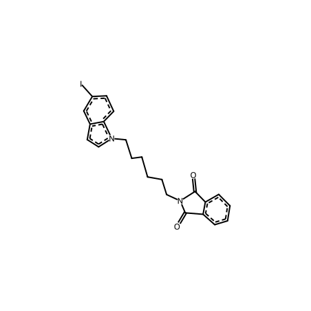 O=C1c2ccccc2C(=O)N1CCCCCCn1ccc2cc(I)ccc21